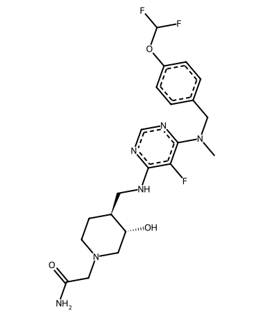 CN(Cc1ccc(OC(F)F)cc1)c1ncnc(NC[C@@H]2CCN(CC(N)=O)C[C@H]2O)c1F